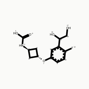 O=C(O)N[C@H]1C[C@H](Oc2ccc(F)c(C(O)CO)c2)C1